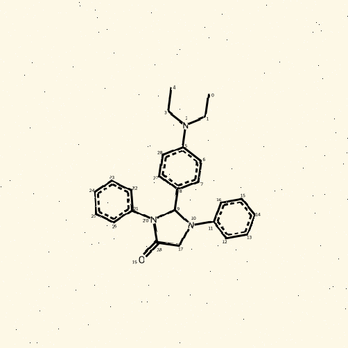 CCN(CC)c1ccc(C2N(c3ccccc3)CC(=O)N2c2ccccc2)cc1